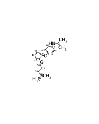 CC(C)Nc1ccc(Oc2ccccc2OCCCN(C)C)cc1